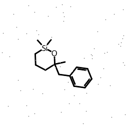 CC1(Cc2ccccc2)CCC[Si](C)(C)O1